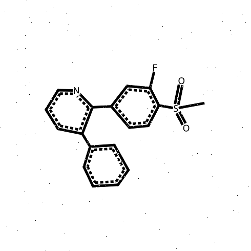 CS(=O)(=O)c1ccc(-c2ncccc2-c2ccccc2)cc1F